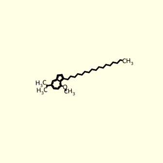 CCCCCCCCCCCCCCCCCc1ccc2cc(C(C)C)ccc(OC)c1-2